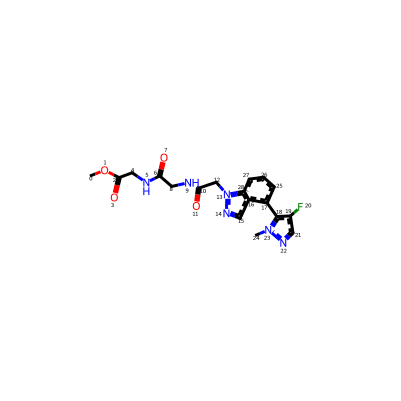 COC(=O)CNC(=O)CNC(=O)Cn1ncc2c(-c3c(F)cnn3C)cccc21